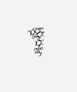 CCNS(=O)(=O)c1ccc(-c2cnc3c(c2Cl)C2(CC=CC2)CN3)cc1